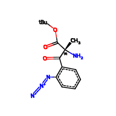 CC(C)(C)OC(=O)[C@](C)(N)C(=O)c1ccccc1N=[N+]=[N-]